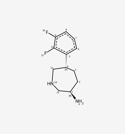 N[C@@H]1CC[C@@H](c2cccc(F)c2F)CNC1